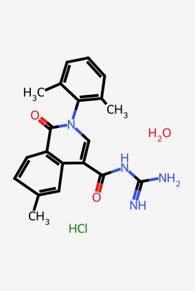 Cc1ccc2c(=O)n(-c3c(C)cccc3C)cc(C(=O)NC(=N)N)c2c1.Cl.O